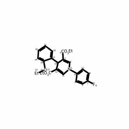 CCOC(=O)C1=CN(c2ccc(F)cc2)C=C(C(=O)OCC)C1c1ccccc1OCC